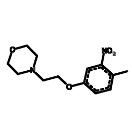 Cc1ccc(OCCN2CCOCC2)cc1[N+](=O)[O-]